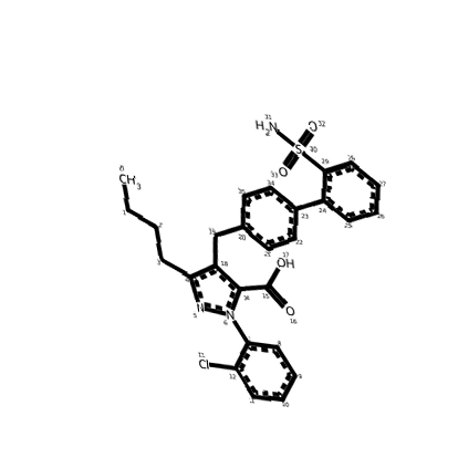 CCCCc1nn(-c2ccccc2Cl)c(C(=O)O)c1Cc1ccc(-c2ccccc2S(N)(=O)=O)cc1